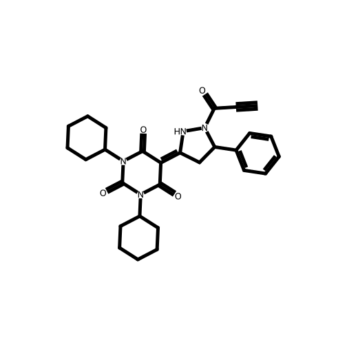 C#CC(=O)N1NC(=C2C(=O)N(C3CCCCC3)C(=O)N(C3CCCCC3)C2=O)CC1c1ccccc1